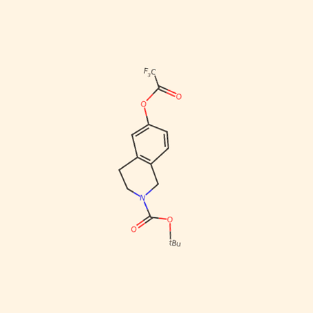 CC(C)(C)OC(=O)N1CCc2cc(OC(=O)C(F)(F)F)ccc2C1